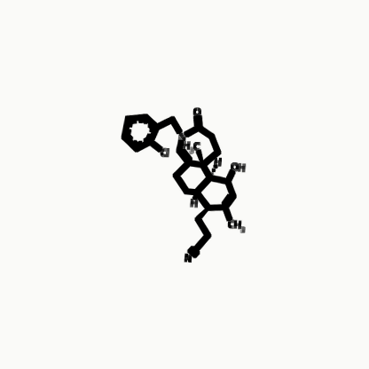 CC1=CC(O)[C@H]2[C@@H](CCC3=CN(Cc4ccccc4Cl)C(=O)CC[C@@]32C)[C@@H]1CCC#N